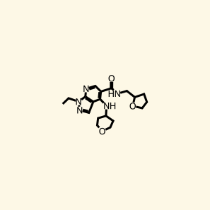 CCn1ncc2c(NC3CCOCC3)c(C(=O)NCC3CCCO3)cnc21